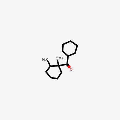 COC1(C(=O)C2CCCCC2)CCCCC1C